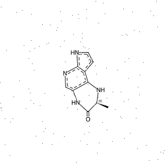 C[C@@H]1Nc2c(cnc3[nH]ccc23)NC1=O